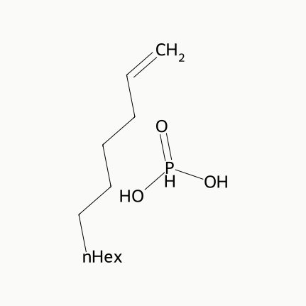 C=CCCCCCCCCCC.O=[PH](O)O